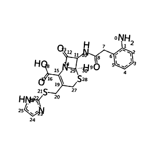 Nc1ccccc1CC(=O)NC1C(=O)N2C(C(=O)O)=C(CSc3ncc[nH]3)CS[C@H]12